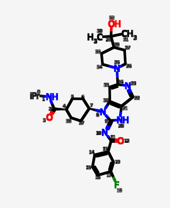 CC(C)NC(=O)[C@H]1CC[C@@H](n2/c(=N/C(=O)c3cccc(F)c3)[nH]c3cnc(N4CCC(C(C)(C)O)CC4)cc32)CC1